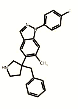 Cc1cc2c(cnn2-c2ccc(F)cc2)cc1C1(Cc2ccccc2)CCNC1